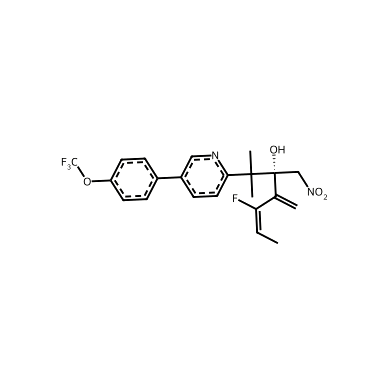 C=C(/C(F)=C\C)[C@](O)(C[N+](=O)[O-])C(C)(C)c1ccc(-c2ccc(OC(F)(F)F)cc2)cn1